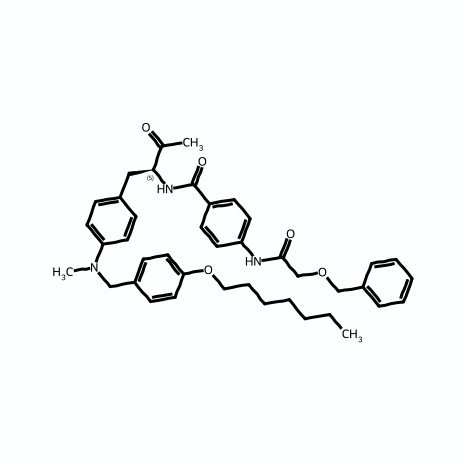 CCCCCCCOc1ccc(CN(C)c2ccc(C[C@H](NC(=O)c3ccc(NC(=O)COCc4ccccc4)cc3)C(C)=O)cc2)cc1